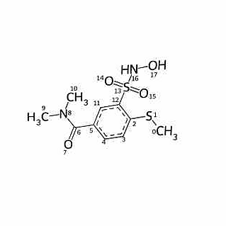 CSc1ccc(C(=O)N(C)C)cc1S(=O)(=O)NO